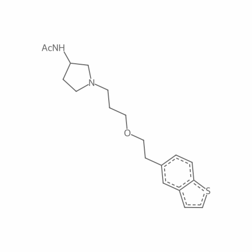 CC(=O)NC1CCN(CCCOCCc2ccc3sccc3c2)C1